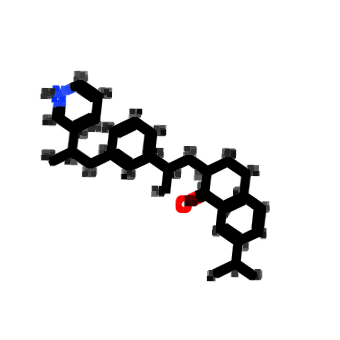 CC(C)c1ccc2c(c1)C(=O)C(CC(C)c1cccc(CC(C)c3cccnc3)c1)CC2